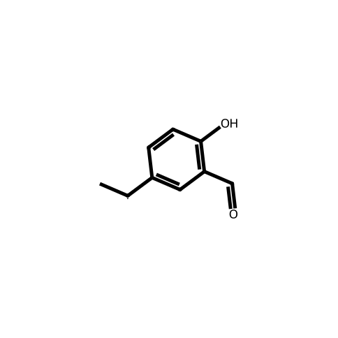 C[CH]c1ccc(O)c(C=O)c1